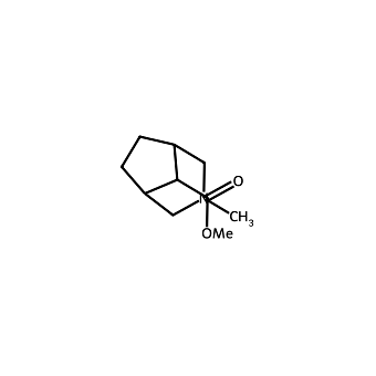 COC(=O)C1C2CCC1CN(C)C2